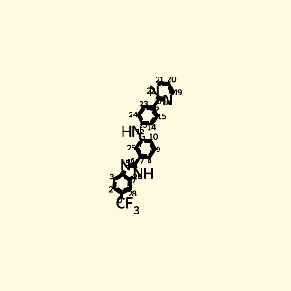 FC(F)(F)c1ccc2nc(-c3cccc(Nc4ccc(-c5ncccn5)cc4)c3)[nH]c2c1